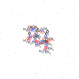 CC[C@@]1(O)C(=O)OCc2c1cc1n(c2=O)Cc2c-1nc1ccccc1c2CCN(C(=O)OCc1ccc(NC(=O)[C@H](C)NC(=O)[C@@H](NC(=O)c2ccc(-c3nnc(S(C)(=O)=O)o3)cc2)C(C)C)cc1CN(C)C(=O)CN(C)C(=O)CN(C)C(=O)CN(C)C(=O)CN(C)C(=O)CN(C)C(=O)CN(C)C(=O)CN(C)C(=O)CN(C)C(=O)CN(C)C(=O)CN(C)C(C)=O)C(C)C